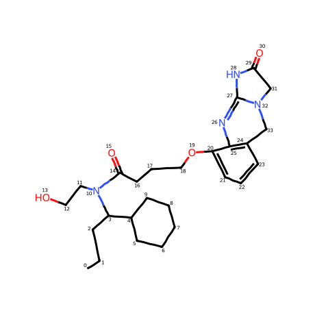 CCCC(C1CCCCC1)N(CCO)C(=O)CCCOc1cccc2c1N=C1NC(=O)CN1C2